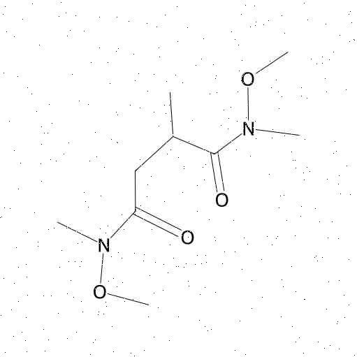 CON(C)C(=O)CC(C)C(=O)N(C)OC